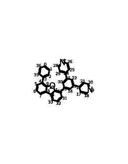 c1ccc(-c2cccc3c2oc2c(-c4cc(-c5ccncc5)cc(-c5ccncc5)c4)cccc23)cc1